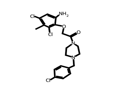 Cc1c(Cl)cc(N)c(OCC(=O)N2CCN(Cc3ccc(Cl)cc3)CC2)c1Cl